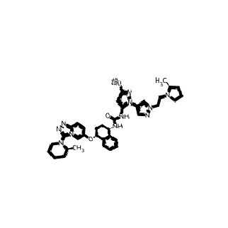 C[C@@H]1CCCN1CCn1cc(-n2nc(C(C)(C)C)cc2NC(=O)N[C@H]2CC[C@@H](Oc3ccc4nnc(N5CCCC[C@@H]5C)n4c3)c3ccccc32)cn1